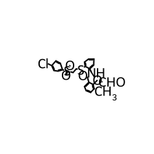 Cc1cccc(C(=O)Nc2ccccc2SCCS(=O)(=O)c2ccc(Cl)cc2)c1OC=O